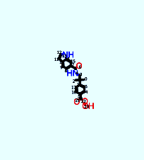 CC(C)(CNC(=O)c1ccc2cc[nH]c2c1)c1ccc(C(=O)OO)cc1